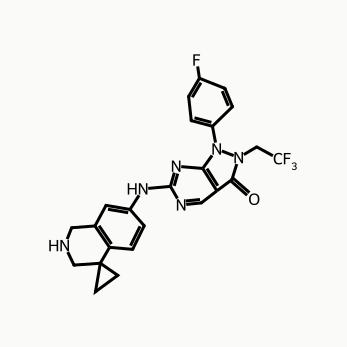 O=c1c2cnc(Nc3ccc4c(c3)CNCC43CC3)nc2n(-c2ccc(F)cc2)n1CC(F)(F)F